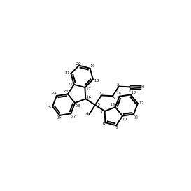 C#CCCCC(C)(C1C=Cc2ccccc21)C1c2ccccc2-c2ccccc21